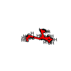 O=C(O)CC[C@H](NC(=O)N[C@@H](CCCCNC(=O)CCCCCCCCCCN1CCN(c2nc(Nc3ccc(CC4CN(CC(=O)O)CCN(CC(=O)O)CCN(CC(=O)O)CCN4CC(=O)O)cc3)nc(N[C@@H](CCCCN(Cc3nccn3CC(=O)O)Cc3nccn3CC(=O)O)C(=O)O)n2)CC1)C(=O)O)C(=O)O.[Lu]